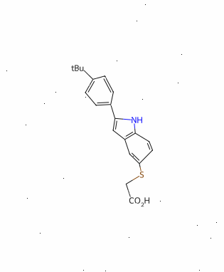 CC(C)(C)c1ccc(-c2cc3cc(SCC(=O)O)ccc3[nH]2)cc1